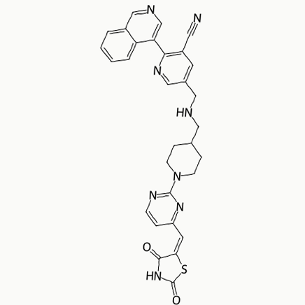 N#Cc1cc(CNCC2CCN(c3nccc(C=C4SC(=O)NC4=O)n3)CC2)cnc1-c1cncc2ccccc12